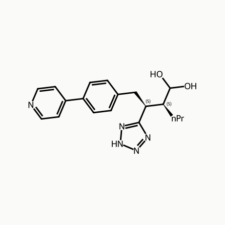 CCC[C@H](C(O)O)[C@H](Cc1ccc(-c2ccncc2)cc1)c1nn[nH]n1